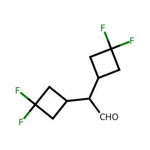 O=CC(C1CC(F)(F)C1)C1CC(F)(F)C1